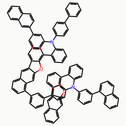 c1ccc(-c2ccc(N(c3cccc(-c4ccc5ccccc5c4)c3)c3ccccc3-c3cccc4c3oc3cc5c(-c6cccc(-c7ccc(N(c8cccc(-c9cccc%10ccccc9%10)c8)c8ccccc8-c8cccc9c8oc8cc%10ccccc%10cc89)cc7)c6)cccc5cc34)cc2)cc1